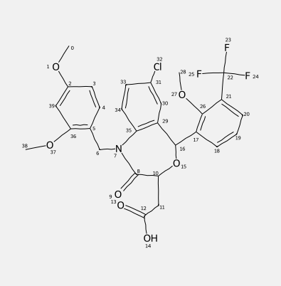 COc1ccc(CN2C(=O)C(CC(=O)O)OC(c3cccc(C(F)(F)F)c3OC)c3cc(Cl)ccc32)c(OC)c1